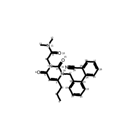 CCCc1cc(=O)n(CC(=O)N(C)C)c(=O)n1Cc1ccccc1-c1ccccc1C#N